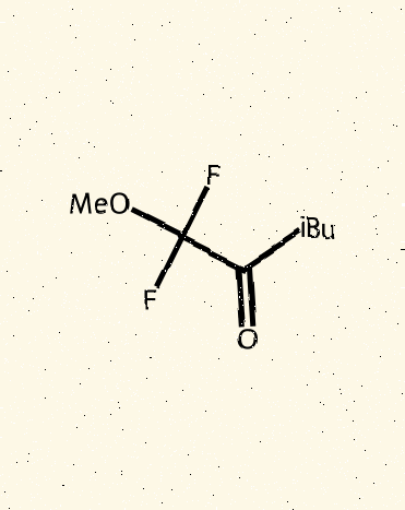 CCC(C)C(=O)C(F)(F)OC